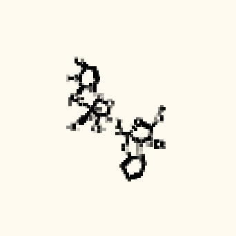 C#C[C@@]1(O)[C@H](O)[C@@H](COP(=S)(N[C@@H](CC)C(=O)OC(C)C)Oc2ccccc2)O[C@H]1n1ccc(=O)[nH]c1=O